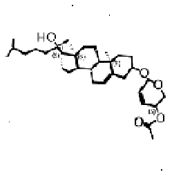 CC(=O)O[C@H]1C=CC(OC2CC[C@@]3(C)C(=CCC4C3CC[C@@]3(C)C4CC[C@@H]3[C@@](C)(O)CCCC(C)C)C2)OC1